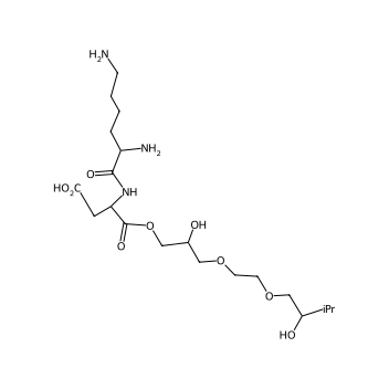 CC(C)C(O)COCCOCC(O)COC(=O)C(CC(=O)O)NC(=O)C(N)CCCCN